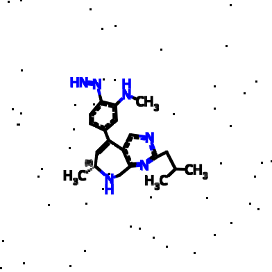 CNc1cc(C2=C[C@@H](C)NCc3nc(CC(C)C)ncc32)ccc1N=N